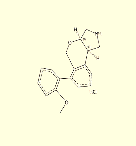 COc1ccccc1-c1cccc2c1CO[C@H]1CNC[C@@H]21.Cl